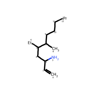 C=CC(N)CC(CC)C(C)CCCC(C)C